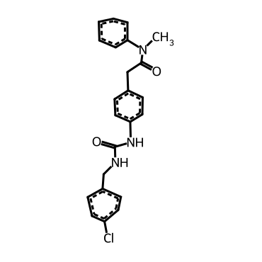 CN(C(=O)Cc1ccc(NC(=O)NCc2ccc(Cl)cc2)cc1)c1ccccc1